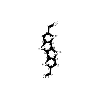 O=Cc1cc2sc3c4sc(C=O)cc4sc3c2s1